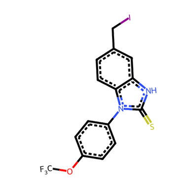 FC(F)(F)Oc1ccc(-n2c(=S)[nH]c3cc(CI)ccc32)cc1